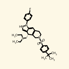 CCN(CC)C[C@@H]1C2=CNN(c3ccc(F)cc3)C2=CC2=C1CN(S(=O)(=O)c1ccc(C(C)(C)C)cc1)CC2